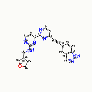 C(#Cc1ccnc(-c2ccnc(NC[C@H]3CCOC3)n2)n1)c1ccc2[nH]ncc2c1